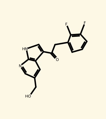 O=C(Cc1cccc(F)c1F)c1c[nH]c2ncc(CO)cc12